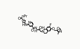 CCCC(=O)N1CC(Nc2cc(C(=O)NC[C@H](O)CN3CCc4cc(OCc5ocnc5C)c(F)cc4C3)ccn2)C1